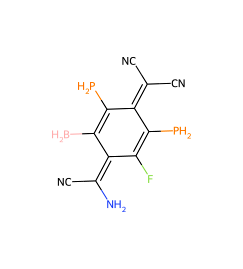 Bc1c(P)c(=C(C#N)C#N)c(P)c(F)/c1=C(\N)C#N